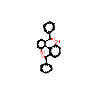 O=C(c1ccccc1)c1cccc(O)c1-c1c(O)cccc1C(=O)c1ccccc1